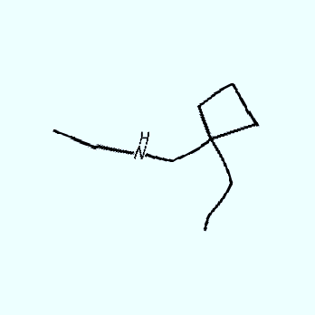 CCNCC1(CC)CCC1